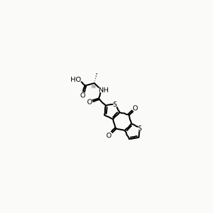 C[C@H](NC(=O)c1cc2c(s1)C(=O)c1sccc1C2=O)C(=O)O